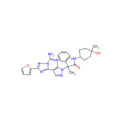 CC1(O)CCC(NC(=O)C(C)(c2ccccc2)n2ncc3c2nc(N)n2nc(-c4ccco4)nc32)CC1